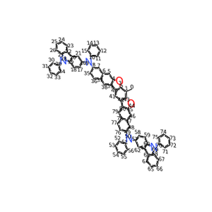 Cc1c2oc3cc4cc(N(c5ccccc5)c5ccc6c(c5)c5ccccc5n6-c5ccccc5)ccc4cc3c2cc2c1oc1cc3cc(N(c4ccccc4)c4ccc5c(c4)c4ccccc4n5-c4ccccc4)ccc3cc12